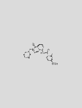 COc1ccc(C(=O)Nc2cccc3c(=O)n(Cc4cccnc4)ccc23)c(C)c1